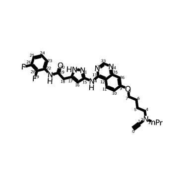 C#CN(CCC)CCCCOc1ccc2c(Nc3cc(CC(=O)Nc4cccc(F)c4F)[nH]n3)ncnc2c1